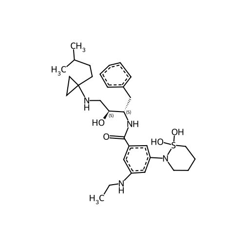 CCNc1cc(C(=O)N[C@@H](Cc2ccccc2)[C@@H](O)CNC2(CCC(C)C)CC2)cc(N2CCCCS2(O)O)c1